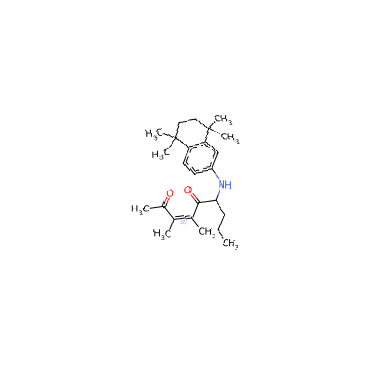 CCCC(Nc1ccc2c(c1)C(C)(C)CCC2(C)C)C(=O)/C(C)=C(/C)C(C)=O